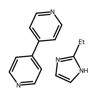 CCc1ncc[nH]1.c1cc(-c2ccncc2)ccn1